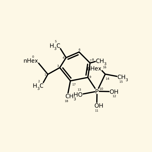 CCCCCCC(C)c1c(C)cc(C)c(P(O)(O)(O)C(C)CCCCCC)c1C